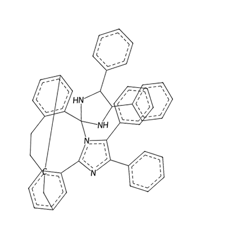 c1ccc(-c2nc3n(c2-c2ccccc2)C2(NC(c4ccccc4)C(c4ccccc4)N2)c2cc4ccc2CCc2ccc(cc2-3)CC4)cc1